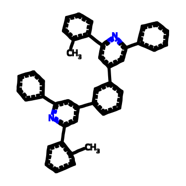 Cc1ccccc1-c1cc(-c2cccc(-c3cc(-c4ccccc4)nc(-c4ccccc4C)c3)c2)cc(-c2ccccc2)n1